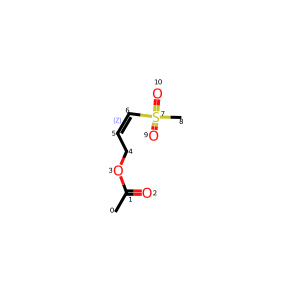 CC(=O)OC/C=C\S(C)(=O)=O